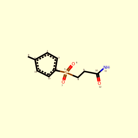 Cc1ccc(S(=O)(=O)CCC([NH])=O)cc1